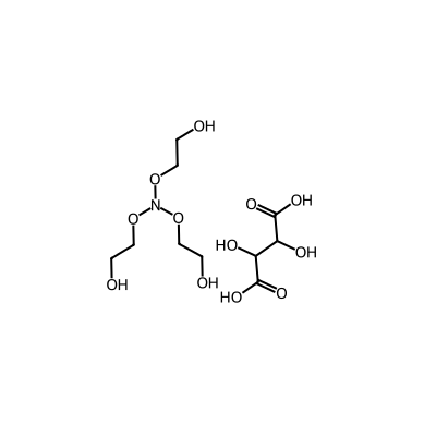 O=C(O)C(O)C(O)C(=O)O.OCCON(OCCO)OCCO